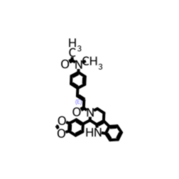 CC(=O)N(C)c1ccc(/C=C/C(=O)N2CCc3c([nH]c4ccccc34)C2c2ccc3c(c2)OCO3)cc1